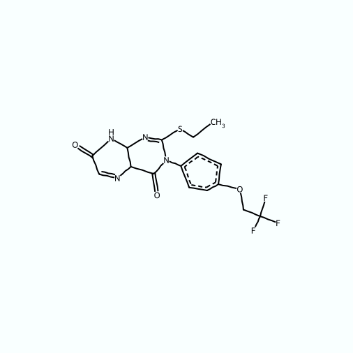 CCSC1=NC2NC(=O)C=NC2C(=O)N1c1ccc(OCC(F)(F)F)cc1